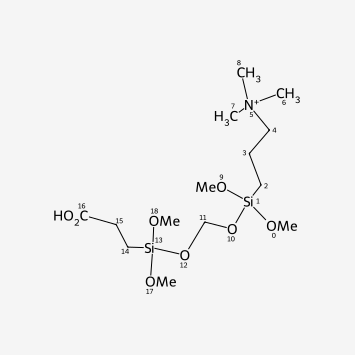 CO[Si](CCC[N+](C)(C)C)(OC)OCO[Si](CCC(=O)O)(OC)OC